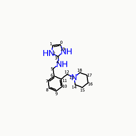 C1=CNC(NCc2ccccc2CN2CCCCC2)N1